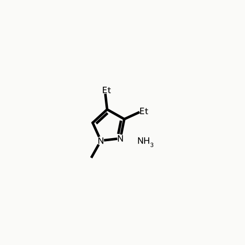 CCc1cn(C)nc1CC.N